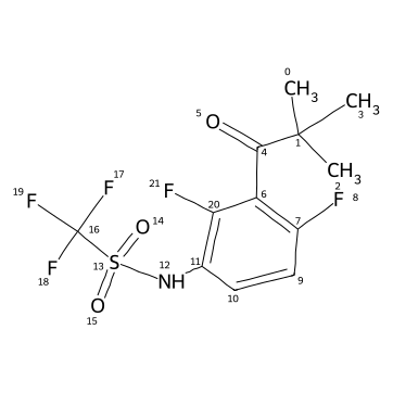 CC(C)(C)C(=O)c1c(F)ccc(NS(=O)(=O)C(F)(F)F)c1F